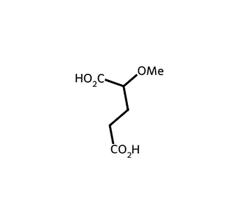 COC(CCC(=O)O)C(=O)O